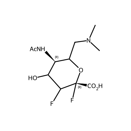 CC(=O)N[C@H]1C(CN(C)C)O[C@@](F)(C(=O)O)C(F)C1O